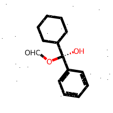 O=CO[C@](O)(c1ccccc1)C1CCCCC1